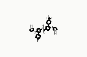 O=C(Nc1ccc(O[C@H]2CCNC2)c(-c2ccc(F)cc2)c1)c1ccc(O[C@H]2CCNC2)c(C2CCC(C(F)(F)F)CC2)c1